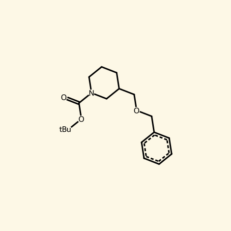 CC(C)(C)OC(=O)N1CCCC(COCc2ccccc2)C1